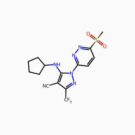 CS(=O)(=O)c1ccc(-n2nc(C(F)(F)F)c(C#N)c2NC2CCCC2)nn1